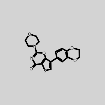 O=c1nc(N2CCOCC2)oc2c(-c3ccc4c(c3)OCCO4)csc12